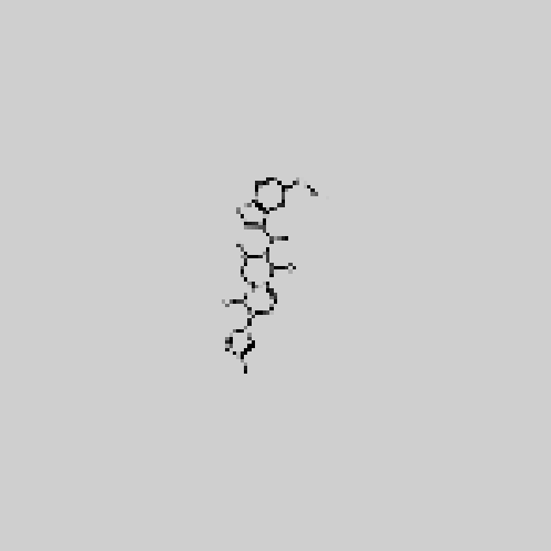 Cc1cn(-c2ccc3n(c2=O)C[C@@H](C)N(C(C)c2coc4ccc(OC(F)(F)F)cc24)C3=O)cn1